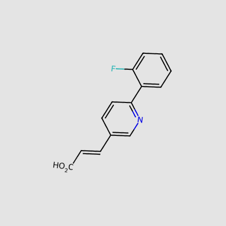 O=C(O)C=Cc1ccc(-c2ccccc2F)nc1